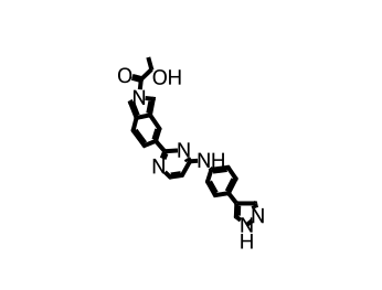 CC(O)C(=O)n1cc2ccc(-c3nccc(Nc4ccc(-c5cn[nH]c5)cc4)n3)cc2c1